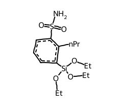 CCCc1c([Si](OCC)(OCC)OCC)cccc1S(N)(=O)=O